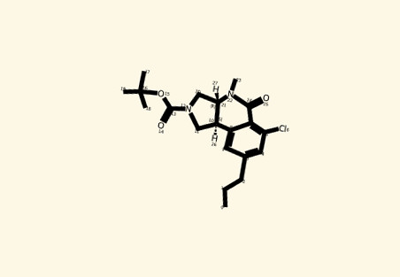 CCCc1cc(Cl)c2c(c1)[C@H]1CN(C(=O)OC(C)(C)C)C[C@@H]1N(C)C2=O